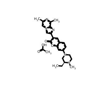 CC(=O)O.CC[C@H]1CN(c2ccc3cc(-c4cn5cc(C)nc(C)c5n4)c(=O)oc3c2)CCN1C